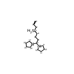 C=CC[SiH2]CCCC(N1CCCC1)N1CCCC1